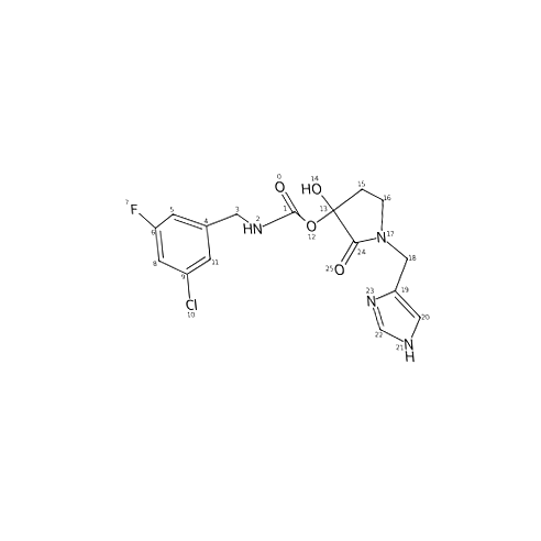 O=C(NCc1cc(F)cc(Cl)c1)OC1(O)CCN(Cc2c[nH]cn2)C1=O